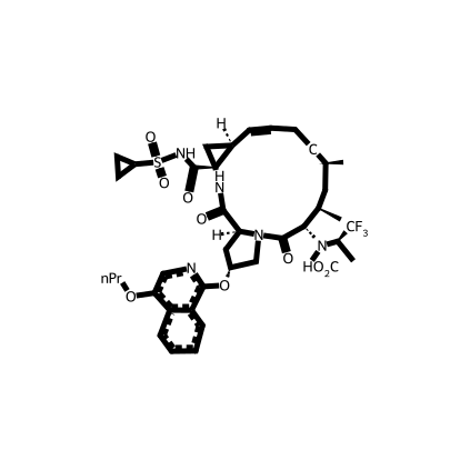 CCCOc1cnc(O[C@@H]2C[C@H]3C(=O)N[C@]4(C(=O)NS(=O)(=O)C5CC5)C[C@H]4/C=C\CC[C@@H](C)C[C@@H](C)[C@H](N(C(=O)O)[C@H](C)C(F)(F)F)C(=O)N3C2)c2ccccc12